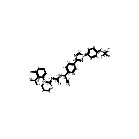 Cc1cccc(N2CCCS/C2=N\C(=O)NC(C#N)c2ccc(-c3ncn(-c4ccc(OC(F)(F)F)cc4)n3)cc2)c1C(C)C